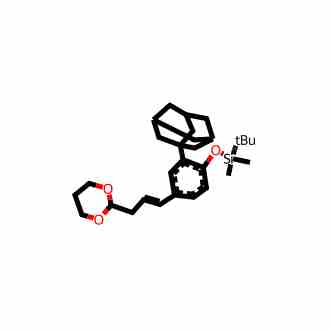 CC(C)(C)[Si](C)(C)Oc1ccc(C=CCC2OCCCO2)cc1C12CC3CC(CC(C3)C1)C2